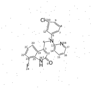 O=c1cc(CN(c2cccc(Cl)c2)c2ccccn2)c2cccc(F)c2[nH]1